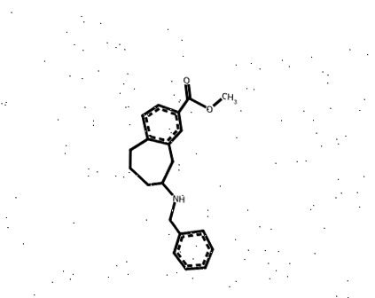 COC(=O)c1ccc2c(c1)CC(NCc1ccccc1)CCC2